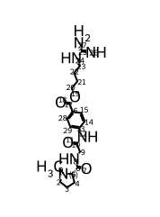 CN1CCC[C@H]1C(=O)NCC(=O)Nc1ccc(C(=O)OCCCCNC(=N)N)cc1